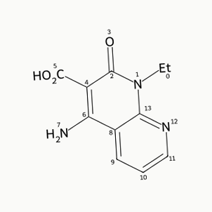 CCn1c(=O)c(C(=O)O)c(N)c2cccnc21